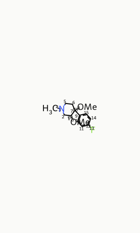 CO[C@H]1CN(C)CC[C@]1(OC)c1ccc(F)cc1